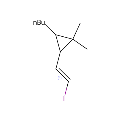 CCCCC1C(/C=C/I)C1(C)C